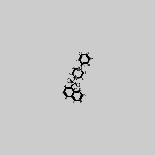 O=S(=O)(c1cccc2ccccc12)N1CCN(c2ccccc2)CC1